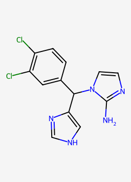 Nc1nccn1C(c1ccc(Cl)c(Cl)c1)c1c[nH]cn1